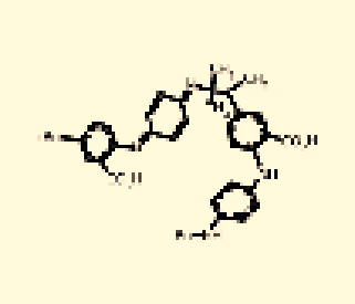 CC(c1ccc(Nc2ccc(NC(C)(C)C)cc2)c(C(=O)O)c1)C(C)(C)N=C1C=CC(=Nc2ccc(C(C)(C)C)cc2C(=O)O)C=C1